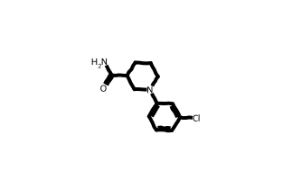 NC(=O)C1CCCN(c2cccc(Cl)c2)C1